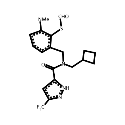 CNc1cccc(CN(CC2CCC2)C(=O)c2cc(C(F)(F)F)n[nH]2)c1SC=O